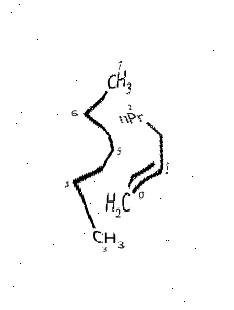 C=CCCC.CCCCC